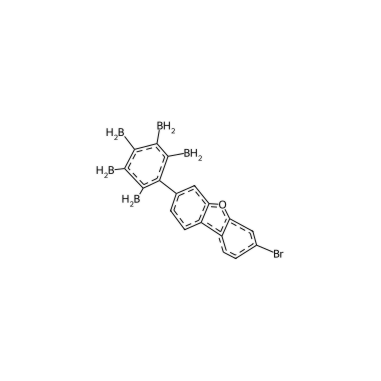 Bc1c(B)c(B)c(-c2ccc3c(c2)oc2cc(Br)ccc23)c(B)c1B